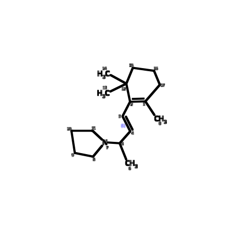 CC1=C(/C=C/C(C)N2CCCC2)C(C)(C)CCC1